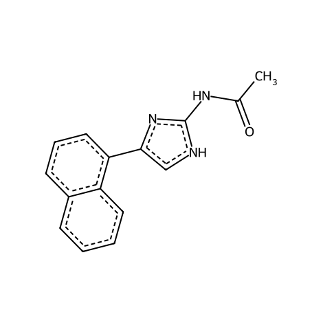 CC(=O)Nc1nc(-c2cccc3ccccc23)c[nH]1